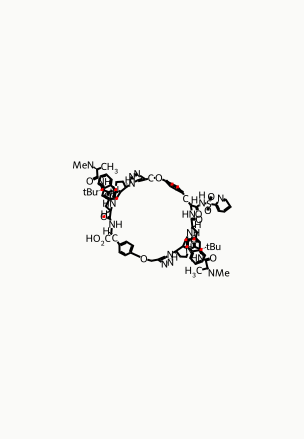 CN[C@@H](C)C(=O)N[C@H](C(=O)N1CC[C@@H]2[C@H]1C(=O)N[C@@H](Cc1ccc3ccccc3c1)C(=O)N[C@H](C(=O)O)Cc1ccc(cc1)OCc1cn(nn1)[C@@H]1CCN(C(=O)[C@@H](NC(=O)[C@H](C)NC)C(C)(C)C)[C@@H]1C(=O)N[C@@H](Cc1ccc3ccccc3c1)C(=O)N[C@H](C(=O)NS(=O)(=O)c1ccccn1)Cc1ccc(cc1)OCc1cn2nn1)C(C)(C)C